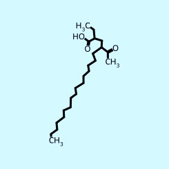 CCCCCCCCCCCCCCCCC(CC(CC)C(=O)O)C(C)=O